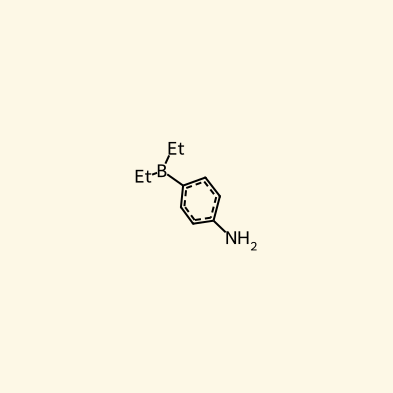 CCB(CC)c1ccc(N)cc1